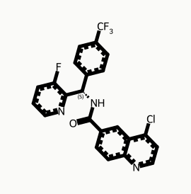 O=C(N[C@@H](c1ccc(C(F)(F)F)cc1)c1ncccc1F)c1ccc2nccc(Cl)c2c1